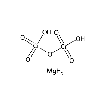 [MgH2].[O]=[Cr](=[O])([OH])[O][Cr](=[O])(=[O])[OH]